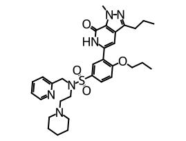 CCCOc1ccc(S(=O)(=O)N(CCN2CCCCC2)Cc2ccccn2)cc1-c1cc2c(CCC)nn(C)c2c(=O)[nH]1